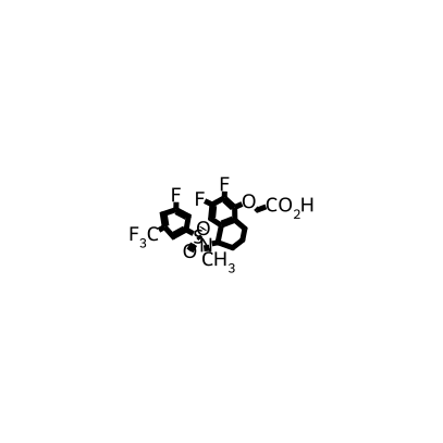 CN(C1CCCc2c1cc(F)c(F)c2OCC(=O)O)S(=O)(=O)c1cc(F)cc(C(F)(F)F)c1